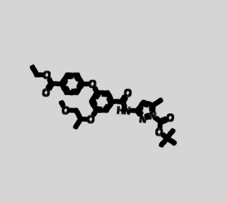 CCOC(=O)c1ccc(Oc2cc(OC(C)COC)cc(C(=O)Nc3cc(C)n(C(=O)OC(C)(C)C)n3)c2)cc1